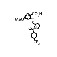 COc1cnc(C(=O)O)c(OC[C@H]2CCCN2C(=O)C2CCC(C(F)(F)F)CC2)c1